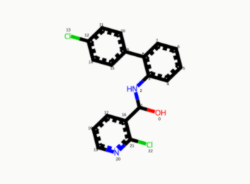 OC(Nc1ccccc1-c1ccc(Cl)cc1)c1cccnc1Cl